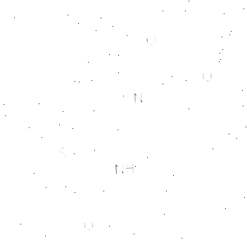 CC(=O)Oc1nc2[nH]c(=O)sc2c(C)c1C